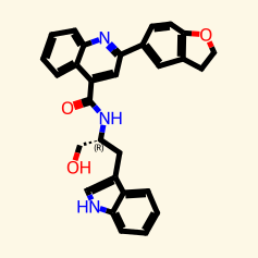 O=C(N[C@@H](CO)Cc1c[nH]c2ccccc12)c1cc(-c2ccc3c(c2)CCO3)nc2ccccc12